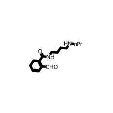 CCCNCCCCNC(=O)C1=C(C=O)C=CCC1